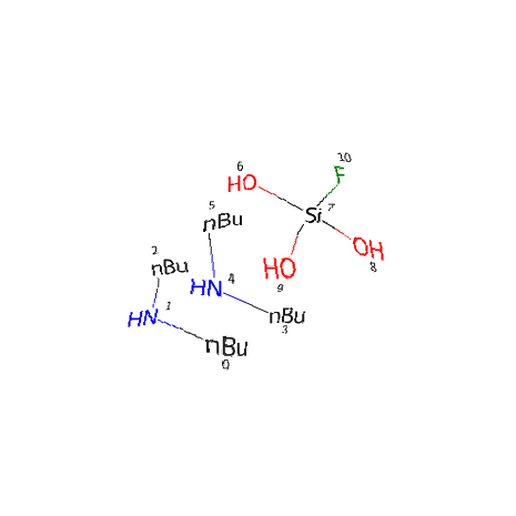 CCCCNCCCC.CCCCNCCCC.O[Si](O)(O)F